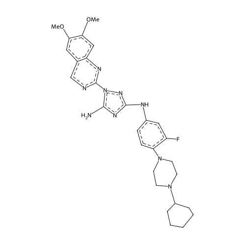 COc1cc2cnc(-n3nc(Nc4ccc(N5CCN(C6CCCCC6)CC5)c(F)c4)nc3N)nc2cc1OC